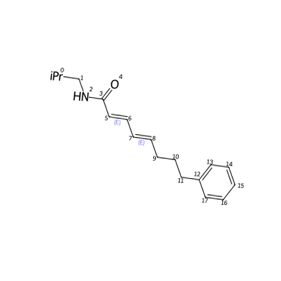 CC(C)CNC(=O)/C=C/C=C/CCCc1ccccc1